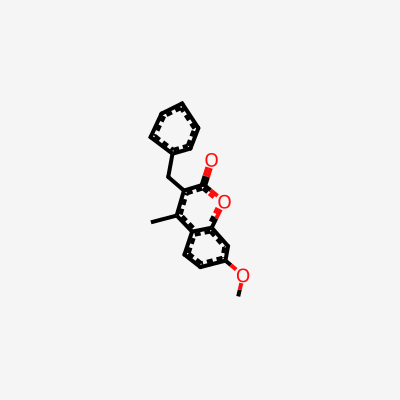 COc1ccc2c(C)c(Cc3ccccc3)c(=O)oc2c1